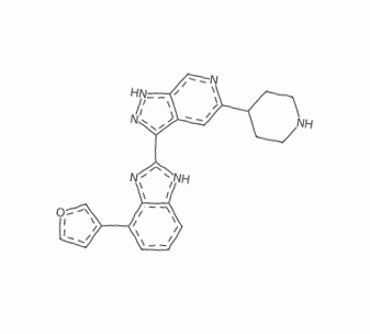 c1cc(-c2ccoc2)c2nc(-c3n[nH]c4cnc(C5CCNCC5)cc34)[nH]c2c1